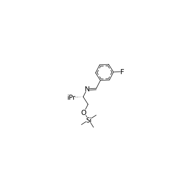 CC(C)[C@@H](CO[Si](C)(C)C)N=Cc1cccc(F)c1